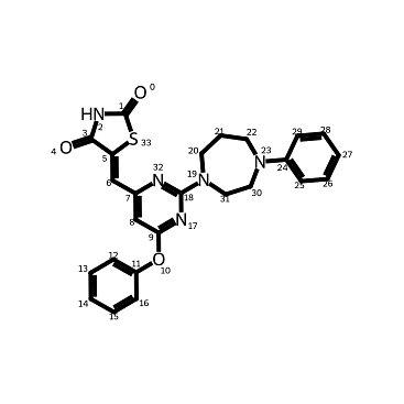 O=C1NC(=O)C(=Cc2cc(Oc3ccccc3)nc(N3CCCN(c4ccccc4)CC3)n2)S1